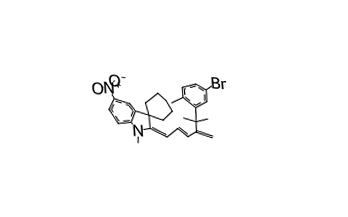 C=C(/C=C/C=C1/N(C)c2ccc([N+](=O)[O-])cc2C12CCCCC2)C(C)(C)c1cc(Br)ccc1C